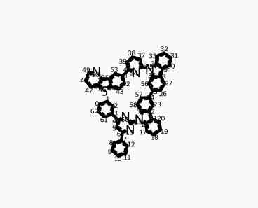 c1ccc(-c2cc(-c3ccccc3)nc(-n3c4ccccc4c4cc(-c5ccc6c7ccccc7n(-c7cccc(-c8ccc9sc%10cccnc%10c9c8)n7)c6c5)ccc43)n2)cc1